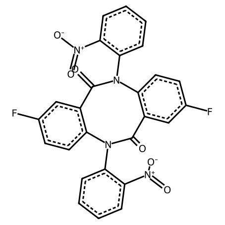 O=C1c2cc(F)ccc2N(c2ccccc2[N+](=O)[O-])C(=O)c2cc(F)ccc2N1c1ccccc1[N+](=O)[O-]